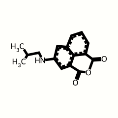 CC(C)CNc1cc2c3c(cccc3c1)C(=O)OC2=O